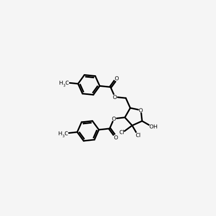 Cc1ccc(C(=O)OCC2OC(O)C(Cl)(Cl)C2OC(=O)c2ccc(C)cc2)cc1